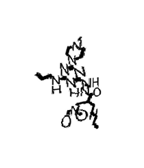 CCCCCC(CN(O)C=O)C(=O)NNc1nc(NCCC)nc(N2CCN(C)CC2)n1